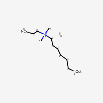 CCCCCCCCCCCCCC[N+](C)(C)CCC#N.[Br-]